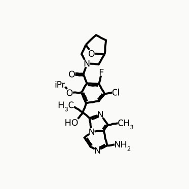 Cc1nc(C(C)(O)c2cc(Cl)c(F)c(C(=O)N3CC4CCC(C3)O4)c2OC(C)C)n2ccnc(N)c12